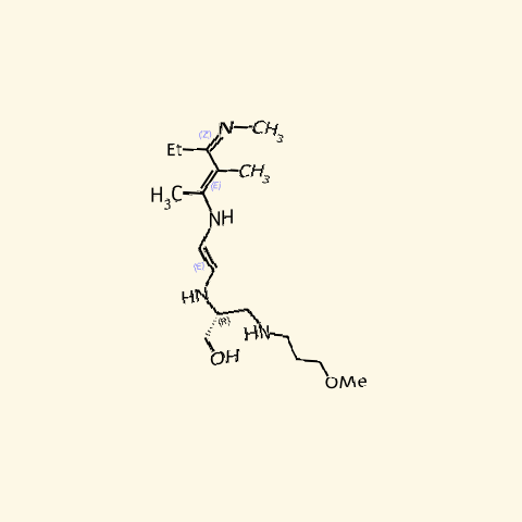 CCC(=N/C)/C(C)=C(\C)N/C=C/N[C@@H](CO)CNCCCOC